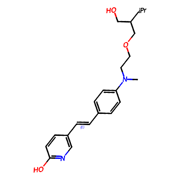 CC(C)C(CO)COCCN(C)c1ccc(/C=C/c2ccc(O)nc2)cc1